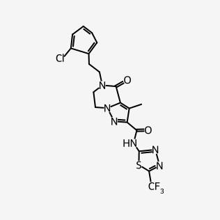 Cc1c(C(=O)Nc2nnc(C(F)(F)F)s2)nn2c1C(=O)N(CCc1ccccc1Cl)CC2